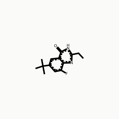 CCc1nc2c(F)cc(C(C)(C)C)cc2c(=O)[nH]1